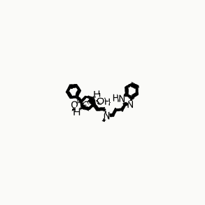 CO[C@]1(c2ccccc2)C[C@@H]2CC[C@H]1C[C@]2(O)CCN(C)CCCc1nc2ccccc2[nH]1